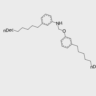 CCCCCCCCCCCCCCCc1cccc(NCOc2cccc(CCCCCCCCCCCCCCC)c2)c1